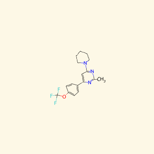 Cc1nc(-c2ccc(OC(F)(F)F)cc2)cc(N2CCCCC2)n1